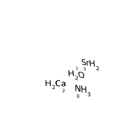 N.O.[CaH2].[SrH2]